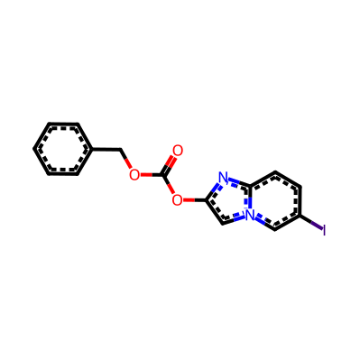 O=C(OCc1ccccc1)Oc1cn2cc(I)ccc2n1